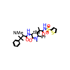 CNC(C(=O)NC(C(=O)N(C)C(C=C(C)C(=O)NS(=O)(=O)c1cccs1)C(C)C)C(C)(C)C)C(C)(C)c1ccccc1